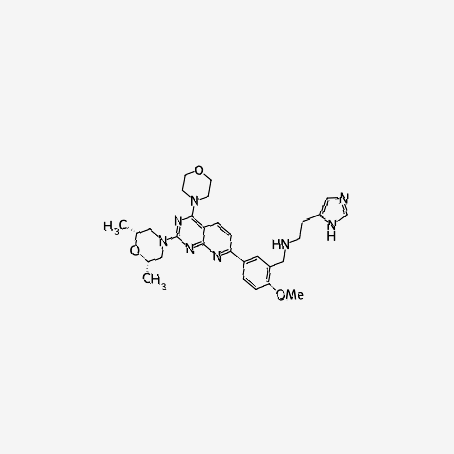 COc1ccc(-c2ccc3c(N4CCOCC4)nc(N4C[C@@H](C)O[C@@H](C)C4)nc3n2)cc1CNCCc1cnc[nH]1